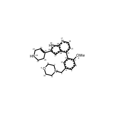 COc1ccc(CN2CCOCC2)cc1-c1ccnc2[nH]c(C3=CCNCC3)cc12